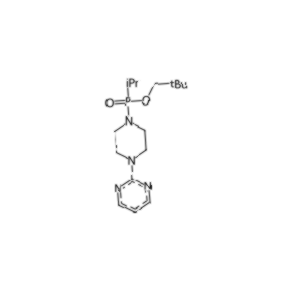 CC(C)P(=O)(OCC(C)(C)C)N1CCN(c2ncccn2)CC1